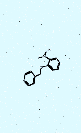 CCCN(C)c1ccccc1OCc1ccncc1